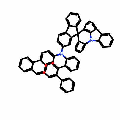 c1ccc(-c2ccccc2-c2ccccc2N(c2ccc3c(c2)C2(c4ccccc4-3)c3ccccc3-n3c4ccccc4c4cccc2c43)c2ccc3c(ccc4ccccc43)c2)cc1